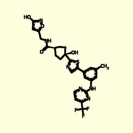 Cc1cc(Nc2nccc(C(F)(F)F)n2)cc(-c2cnc([C@]3(O)CC[C@@H](C(=O)NCc4cc(O)no4)CC3)s2)c1